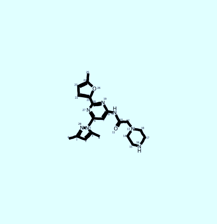 Cc1cc(C)n(-c2cc(NC(=O)CN3CCNCC3)nc(-c3ccc(C)o3)n2)n1